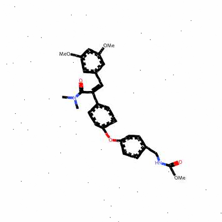 COC(=O)NCc1ccc(Oc2ccc(C(=Cc3cc(OC)cc(OC)c3)C(=O)N(C)C)cc2)cc1